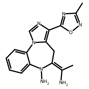 C/C(N)=C1\Cc2c(-c3nc(C)no3)ncn2-c2ccccc2N1N